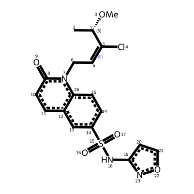 CO[C@@H](C)/C(Cl)=C\Cn1c(=O)ccc2cc(S(=O)(=O)Nc3ccon3)ccc21